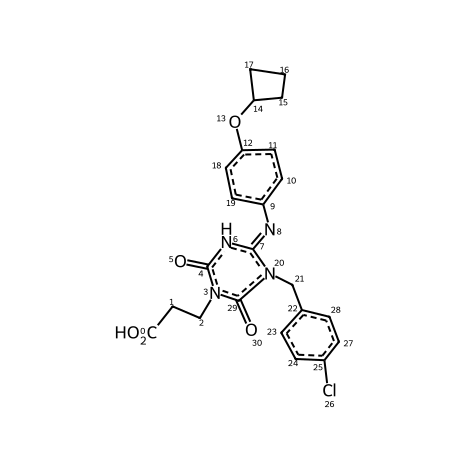 O=C(O)CCn1c(=O)[nH]/c(=N\c2ccc(OC3CCC3)cc2)n(Cc2ccc(Cl)cc2)c1=O